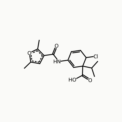 Cc1cc(C(=O)NC2=CC(C(=O)O)(C(C)C)C(Cl)C=C2)c(C)o1